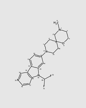 CN1CCOC2(CCN(c3ccc4c5cnccc5n(C(F)F)c4c3)CC2)C1